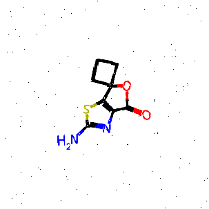 Nc1nc2c(s1)C1(CCC1)OC2=O